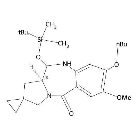 CCCCOc1cc2c(cc1OC)C(=O)N1CC3(CC3)C[C@H]1C(O[Si](C)(C)C(C)(C)C)N2